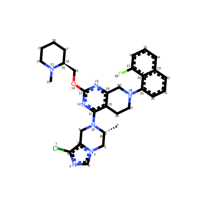 C[C@@H]1Cn2cnc(Cl)c2CN1c1nc(OC[C@@H]2CCCCN2C)nc2c1CCN(c1cccc3cccc(F)c13)C2